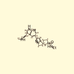 CCNC(=O)N1CCC2(CCn3nc(-c4cnc5[nH]cc(C#CPC)c5c4)cc32)C1